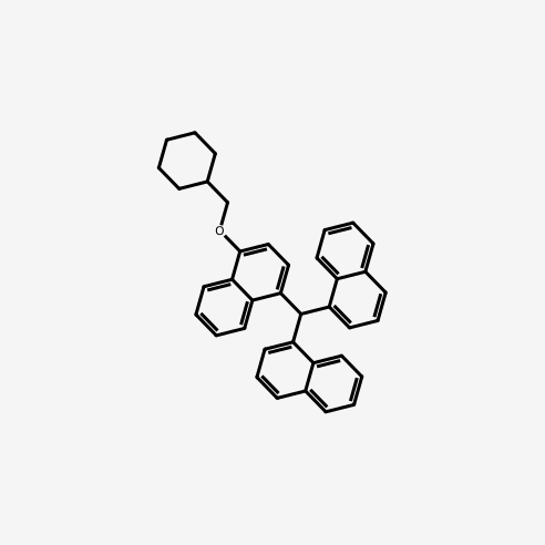 c1ccc2c(C(c3cccc4ccccc34)c3ccc(OCC4CCCCC4)c4ccccc34)cccc2c1